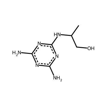 CC(CO)Nc1nc(N)nc(N)n1